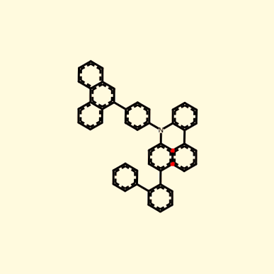 c1ccc(-c2ccccc2-c2ccc(N(c3ccc(-c4cc5ccccc5c5ccccc45)cc3)c3ccccc3-c3ccccc3)cc2)cc1